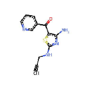 C#CCNc1nc(N)c(C(=O)c2cccnc2)s1